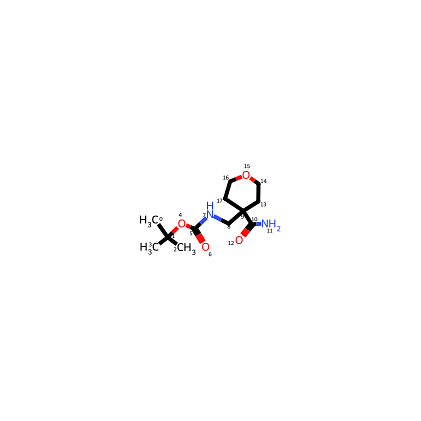 CC(C)(C)OC(=O)NCC1(C(N)=O)CCOCC1